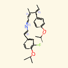 C\C=C(/C(C)=C\C=N\C=C\c1ccc(OC(C)C)c(F)c1)c1ccc(OC(C)C)cc1